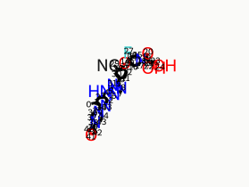 Cc1cc(Nc2ncnc(-c3ccc(O[C@H]4CCN(C(=O)[C@@H](O)CO)C[C@@H]4F)c(C#N)c3)n2)cnc1N1CCN(C2COC2)CC1